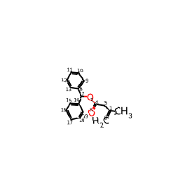 C=C(C)CC(=O)OC(c1ccccc1)c1ccccc1